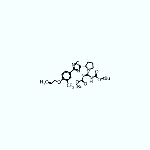 C=CCOc1ccc(-c2noc([C@@H]3CCCN3C(=NC(=O)OC(C)(C)C)NC(=O)OC(C)(C)C)n2)cc1C(F)(F)F